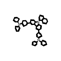 C1=CCC(N(C2=CC=C(C3=CC4c5cc(-c6ccc(N(c7ccccc7)c7ccccc7)cc6)ccc5N(c5cccc6c5C=CCC6)C4C=C3)CC2)c2ccccc2)C=C1